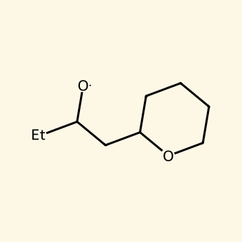 CCC([O])CC1CCCCO1